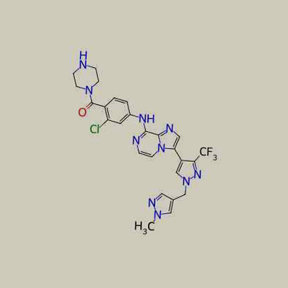 Cn1cc(Cn2cc(-c3cnc4c(Nc5ccc(C(=O)N6CCNCC6)c(Cl)c5)nccn34)c(C(F)(F)F)n2)cn1